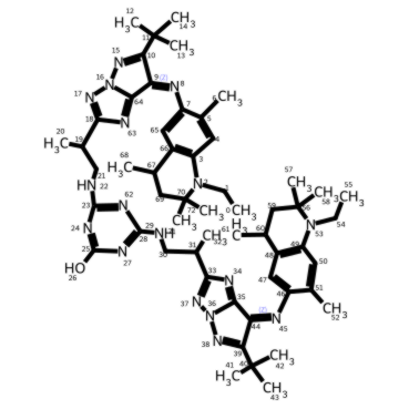 CCN1c2cc(C)c(/N=C3/C(C(C)(C)C)=Nn4nc(C(C)CNc5nc(O)nc(NCC(C)c6nc7n(n6)N=C(C(C)(C)C)/C7=N/c6cc7c(cc6C)N(CC)C(C)(C)CC7C)n5)nc43)cc2C(C)CC1(C)C